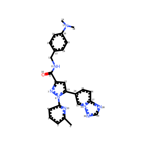 Cc1cccc(-n2nc(C(=O)NCc3ccc(N(C)C)cc3)cc2-c2ccc3ncnn3c2)n1